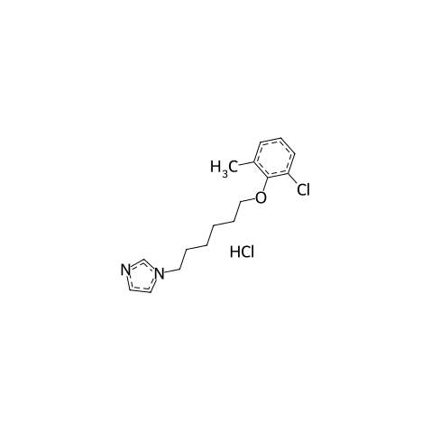 Cc1cccc(Cl)c1OCCCCCCn1ccnc1.Cl